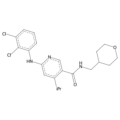 CC(C)c1cc(Nc2cccc(Cl)c2Cl)ncc1C(=O)NCC1CCOCC1